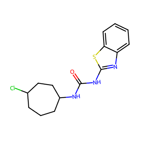 O=C(Nc1nc2ccccc2s1)NC1CCCC(Cl)CC1